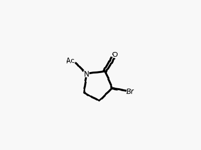 CC(=O)N1CCC(Br)C1=O